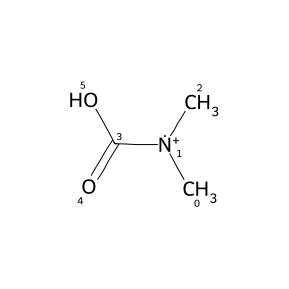 C[N+](C)C(=O)O